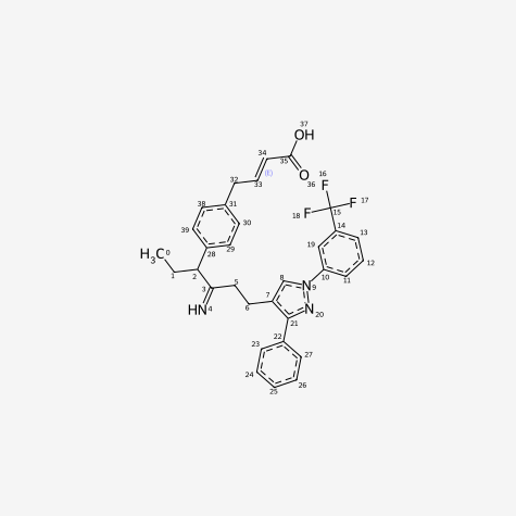 CCC(C(=N)CCc1cn(-c2cccc(C(F)(F)F)c2)nc1-c1ccccc1)c1ccc(C/C=C/C(=O)O)cc1